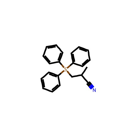 CC(C#N)CS(c1ccccc1)(c1ccccc1)c1ccccc1